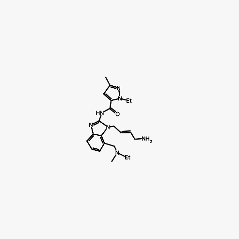 CCN(C)Cc1cccc2nc(NC(=O)c3cc(C)nn3CC)n(C/C=C/CN)c12